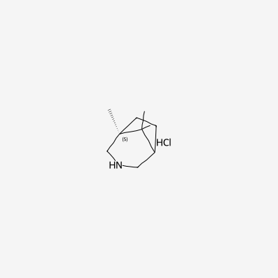 CC1(C)C2CC[C@]1(C)CNC2.Cl